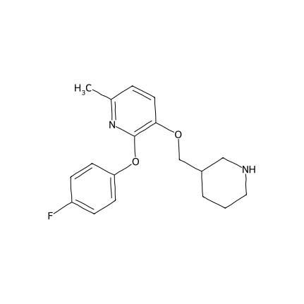 Cc1ccc(OCC2CCCNC2)c(Oc2ccc(F)cc2)n1